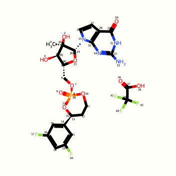 C[C@@]1(O)[C@H](O)[C@@H](CO[P@@]2(=O)OCC[C@@H](c3cc(F)cc(F)c3)O2)O[C@H]1n1ccc2c(=O)[nH]c(N)nc21.O=C(O)C(F)(F)F